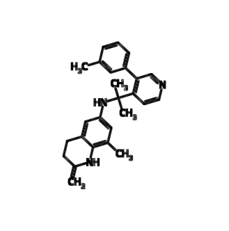 C=C1CCc2cc(NC(C)(C)c3ccncc3-c3cccc(C)c3)cc(C)c2N1